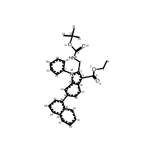 CCOC(=O)c1c(CNC(=O)OC(C)(C)C)n(-c2ccccc2)c2cc(-c3cccc4ccccc34)ccc12